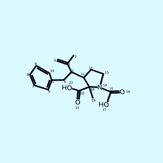 C=C(C)C(Cc1ccccc1)C1CCN(C(=O)O)C1(C)C(=O)O